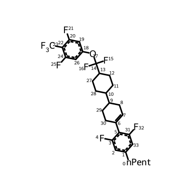 CCCCCc1cc(F)c(C2=CCC(C3CCC(C(F)(F)Oc4cc(F)c(C(F)(F)F)c(F)c4)CC3)CC2)c(F)c1